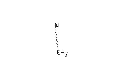 [CH2]CCCCCCCCCCCCCC#N